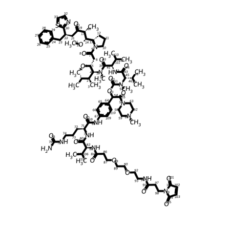 CC[C@H](C)[C@@H]([C@@H](CC(=O)N1CCC[C@H]1[C@H](OC)[C@@H](C)C(=O)C[C@@H](Cc1ccccc1)c1nccs1)OC)N(C)C(=O)[C@@H](NC(=O)[C@H](C(C)C)N(C)C(=O)OC(C(=O)N1CCN(C)CC1)c1ccc(NC(=O)[C@H](CCCNC(N)=O)NC(=O)[C@@H](NC(=O)CCOCCOCCNC(=O)CCN2C(=O)C=CC2=O)C(C)C)cc1)C(C)C